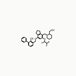 N#Cc1c(COc2cc(OC(F)C(F)F)c(CN3CCCCC3CO)c3c2CCC3)cccc1-c1ccccc1